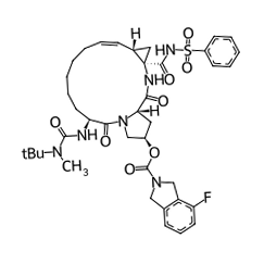 CN(C(=O)N[C@H]1CCCCCC=C[C@@H]2C[C@@]2(C(=O)NS(=O)(=O)c2ccccc2)NC(=O)[C@@H]2C[C@@H](OC(=O)N3Cc4cccc(F)c4C3)CN2C1=O)C(C)(C)C